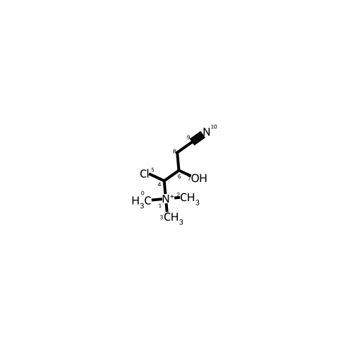 C[N+](C)(C)C(Cl)C(O)CC#N